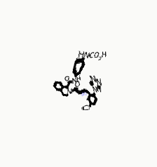 O=C(O)Nc1ccc(NC(=O)C2c3ccccc3CCN2C(=O)/C=C/c2cc(Cl)ccc2-n2cnnn2)cc1